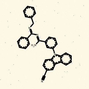 N#Cc1ccc2c(c1)c1ccccc1n2-c1cccc(/C(N)=N/C(=N\Cc2ccccc2)c2ccccc2)c1